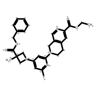 CCOC(=O)c1cc2c(cn1)CN(c1cc(N3CC(C)(C(=O)OCc4ccccc4)C3)cc(F)n1)CC2